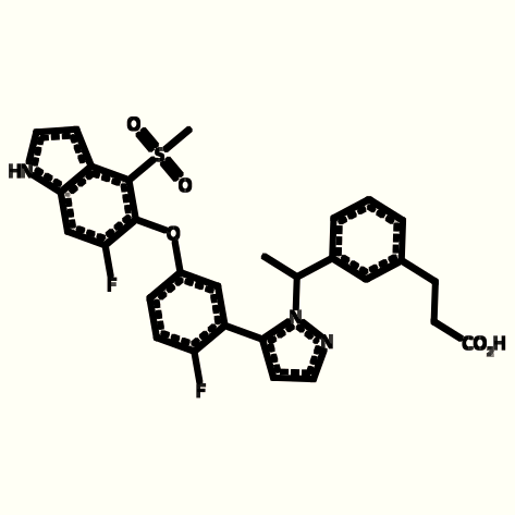 CC(c1cccc(CCC(=O)O)c1)n1nccc1-c1cc(Oc2c(F)cc3[nH]ccc3c2S(C)(=O)=O)ccc1F